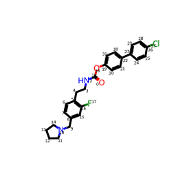 O=C(NCCc1ccc(CN2CCCC2)cc1F)Oc1ccc(-c2ccc(Cl)cc2)cc1